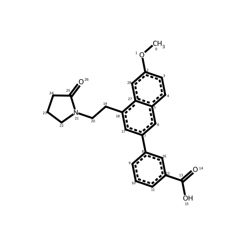 COc1ccc2cc(-c3cccc(C(=O)O)c3)cc(CCN3CCCC3=O)c2c1